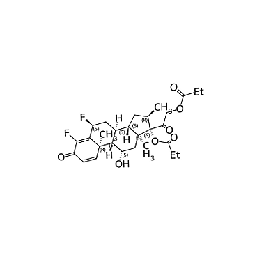 CCC(=O)OCC(=O)[C@]1(OC(=O)CC)[C@H](C)C[C@H]2[C@@H]3C[C@H](F)C4=C(F)C(=O)C=C[C@]4(C)[C@H]3[C@@H](O)C[C@@]21C